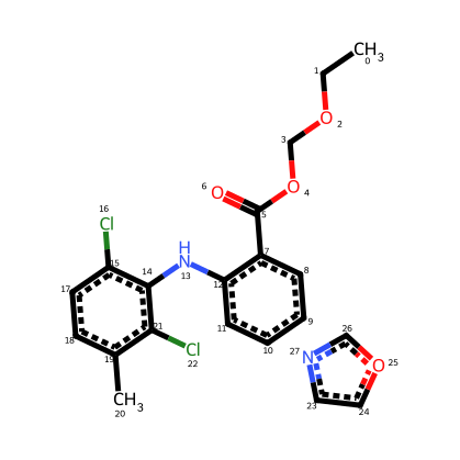 CCOCOC(=O)c1ccccc1Nc1c(Cl)ccc(C)c1Cl.c1cocn1